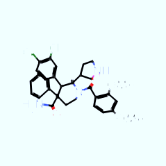 CCC1(C2CCNC2)C(c2ccc(Cl)c(Cl)c2)C(C(N)=O)(c2ccccc2)CCN1C(=O)c1ccc(OC)cc1OC